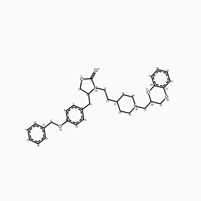 O=C1OCC(Cc2ccc(OCc3ccccc3)cc2)N1CCC1CCN(CC2COc3ccccc3O2)CC1